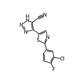 N#Cc1[nH]nnc1-c1cnc(-c2ccc(F)c(Cl)c2)s1